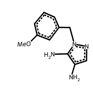 COc1cccc(Cn2ncc(N)c2N)c1